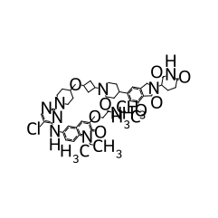 CNC(=O)COc1cc2cc(Nc3nc(N4CCC(OC5CC(N6CCC(c7cc8c(c(OC)c7)C(=O)N(C7CCC(=O)NC7=O)C8)CC6)C5)CC4)ncc3Cl)ccc2n(C(C)C)c1=O